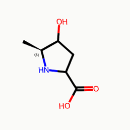 C[C@@H]1NC(C(=O)O)CC1O